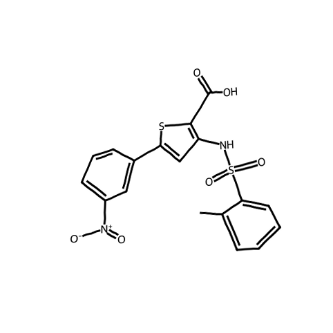 Cc1ccccc1S(=O)(=O)Nc1cc(-c2cccc([N+](=O)[O-])c2)sc1C(=O)O